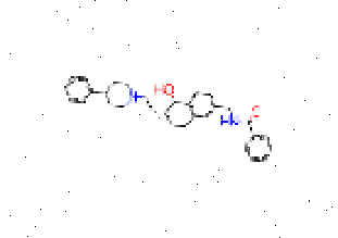 O=C(NCc1ccc2c(c1)CC[C@H](CCN1CCC(c3ccccc3)CC1)[C@H]2O)c1ccccc1